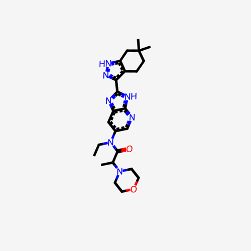 CCN(C(=O)C(C)N1CCOCC1)c1cnc2[nH]c(-c3n[nH]c4c3CCC(C)(C)C4)nc2c1